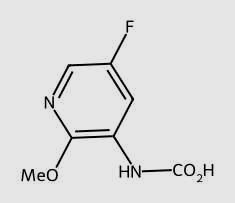 COc1ncc(F)cc1NC(=O)O